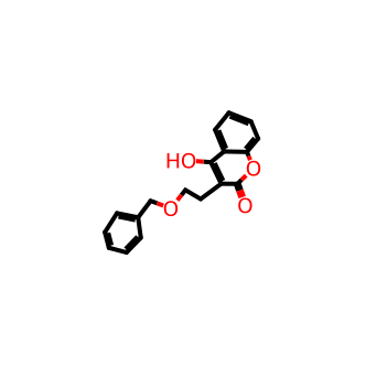 O=c1oc2ccccc2c(O)c1CCOCc1ccccc1